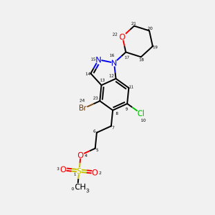 CS(=O)(=O)OCCCc1c(Cl)cc2c(cnn2C2CCCCO2)c1Br